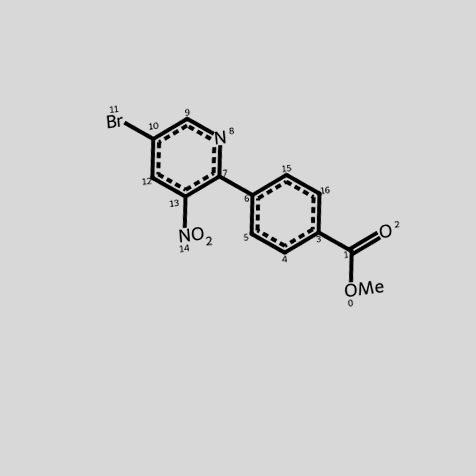 COC(=O)c1ccc(-c2ncc(Br)cc2[N+](=O)[O-])cc1